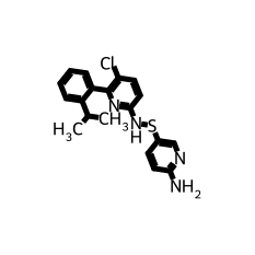 CC(C)c1ccccc1-c1nc(NSc2ccc(N)nc2)ccc1Cl